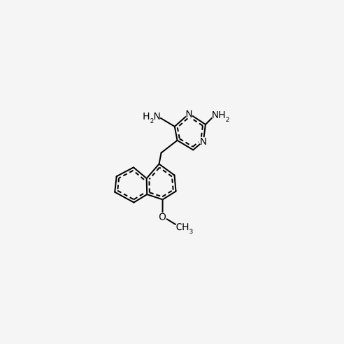 COc1ccc(Cc2cnc(N)nc2N)c2ccccc12